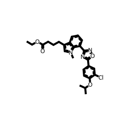 CCOC(=O)CCCc1cn(C)c2c(-c3noc(-c4ccc(OC(C)C)c(Cl)c4)n3)cccc12